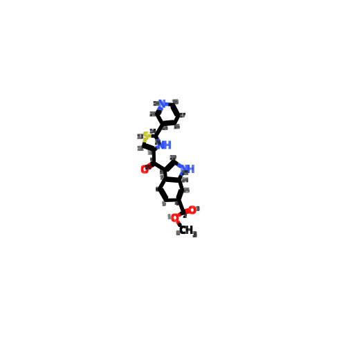 COC(=O)c1ccc2c(C(=O)C3=CSC(c4cccnc4)N3)c[nH]c2c1